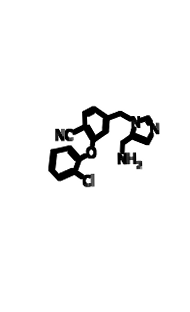 N#Cc1ccc(Cn2cncc2CN)cc1Oc1ccccc1Cl